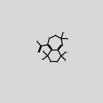 C=C(C)C1=C2C(=CC(C)(C)CC1)C(C)(C)CCC2(C)C